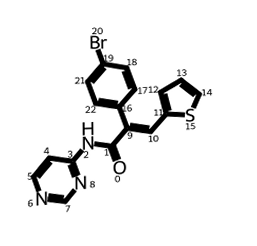 O=C(Nc1ccncn1)/C(=C/c1cccs1)c1ccc(Br)cc1